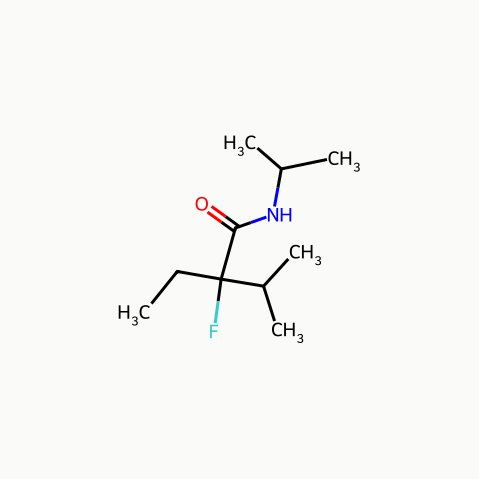 CCC(F)(C(=O)NC(C)C)C(C)C